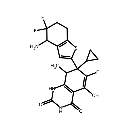 CC1c2[nH]c(=O)[nH]c(=O)c2C(O)=C(F)C1(c1cc2c(s1)CCC(F)(F)C2N)C1CC1